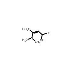 CCC(O)C=C(C(=O)O)N(C)C